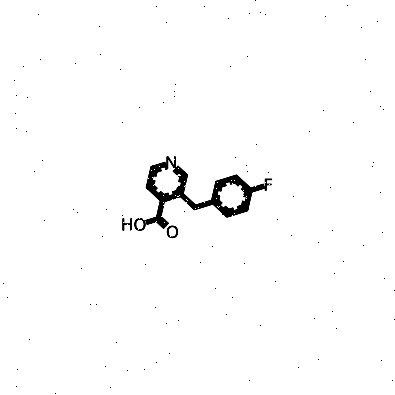 O=C(O)c1ccncc1Cc1ccc(F)cc1